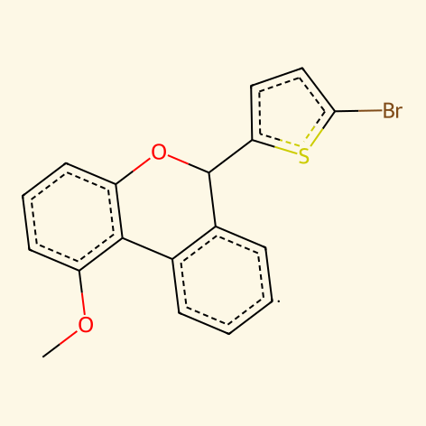 COc1cccc2c1-c1cc[c]cc1C(c1ccc(Br)s1)O2